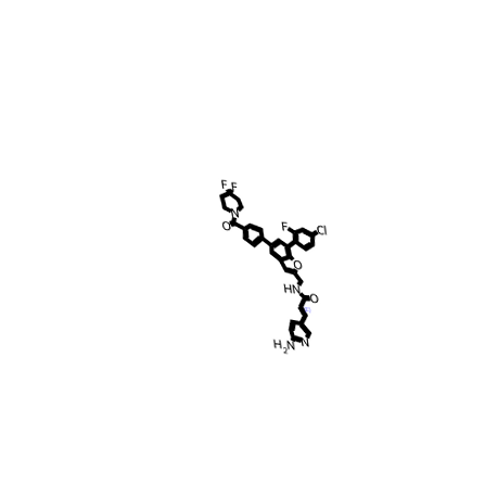 Nc1ccc(/C=C/C(=O)NCc2cc3cc(-c4ccc(C(=O)N5CCC(F)(F)CC5)cc4)cc(-c4ccc(Cl)cc4F)c3o2)cn1